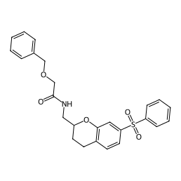 O=C(COCc1ccccc1)NCC1CCc2ccc(S(=O)(=O)c3ccccc3)cc2O1